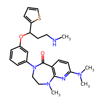 CNCCC(Oc1cccc(N2CCN(C)c3nc(N(C)C)ccc3C2=O)c1)c1cccs1